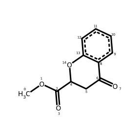 COC(=O)C1CC(=O)c2ccccc2O1